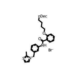 CCCCCCCCCCCCCCOc1ccccc1C(=O)Nc1cccc(C[n+]2ccsc2C)c1.[Br-]